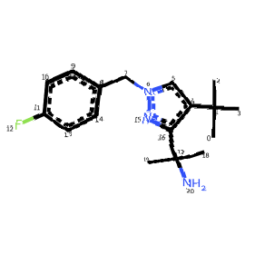 CC(C)(C)c1cn(Cc2ccc(F)cc2)nc1C(C)(C)N